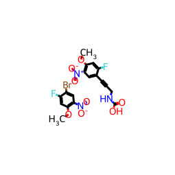 COc1cc(F)c(Br)cc1[N+](=O)[O-].COc1cc(F)c(C#CCNC(=O)O)cc1[N+](=O)[O-]